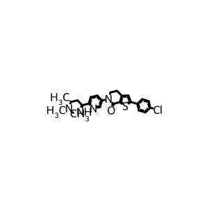 C[C@H](CC(=N)c1ccc(N2CCc3cc(-c4ccc(Cl)cc4)sc3C2=O)cn1)N(C)C